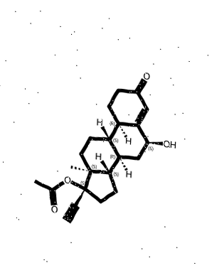 C#C[C@]1(OC(C)=O)CC[C@H]2[C@@H]3C[C@H](O)C4=CC(=O)CC[C@@H]4[C@H]3CC[C@@]21C